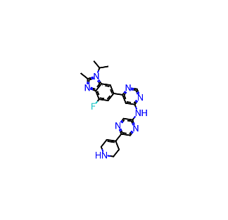 Cc1nc2c(F)cc(-c3cc(Nc4cnc(C5=CCNCC5)cn4)ncn3)cc2n1C(C)C